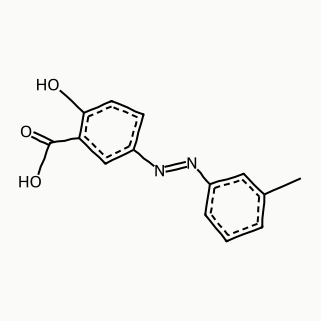 Cc1cccc(/N=N/c2ccc(O)c(C(=O)O)c2)c1